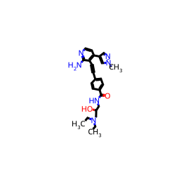 CCN(CC)CC(O)CNC(=O)c1ccc(C#Cc2c(-c3cnn(C)c3)ccnc2N)cc1